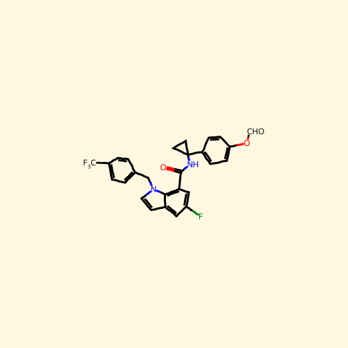 O=COc1ccc(C2(NC(=O)c3cc(F)cc4ccn(Cc5ccc(C(F)(F)F)cc5)c34)CC2)cc1